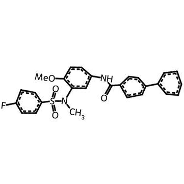 COc1ccc(NC(=O)c2ccc(-c3ccccc3)cc2)cc1N(C)S(=O)(=O)c1ccc(F)cc1